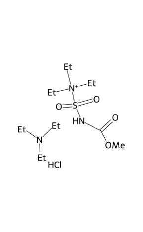 CCN(CC)CC.CC[N+](CC)(CC)S(=O)(=O)NC(=O)OC.Cl